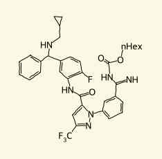 CCCCCCOC(=O)NC(=N)c1cccc(-n2nc(C(F)(F)F)cc2C(=O)Nc2cc(C(NCC3CC3)c3ccccc3)ccc2F)c1